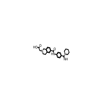 N=C(c1ccc(NC(=O)c2ccc3c(c2)CCN(CC(=O)O)C3)cc1)N1CCCCC1